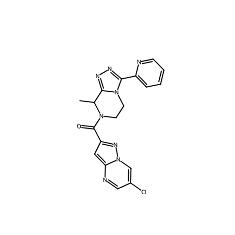 CC1c2nnc(-c3ccccn3)n2CCN1C(=O)c1cc2ncc(Cl)cn2n1